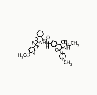 CCC(=O)N[C@@H](C(=O)N1CCN(C)CC1)[C@@H](C)c1ccc(NC(=O)[C@@H](NC(=O)C(F)(F)c2ccc(OC)nc2)C2CCCCC2)cc1